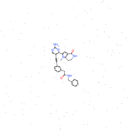 Cn1c(-c2nc(N)ncc2C#Cc2cccc(CC(=O)NCc3ccccc3)c2)cc2c1CCNC2=O